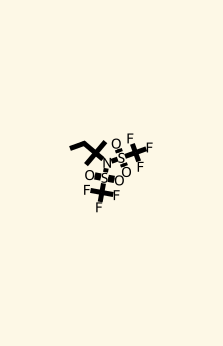 CCC(C)(C)N(S(=O)(=O)C(F)(F)F)S(=O)(=O)C(F)(F)F